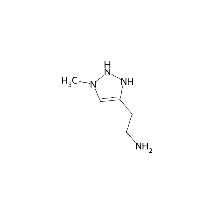 CN1C=C(CCN)NN1